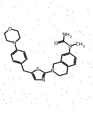 CN(C(N)=O)c1ccc2c(c1)CN(c1ncc(Cc3ccc(N4CCOCC4)cc3)s1)CC2